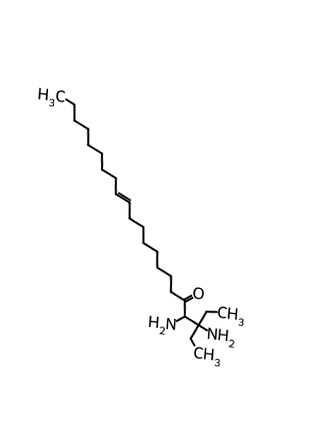 CCCCCCCCC=CCCCCCCCC(=O)C(N)C(N)(CC)CC